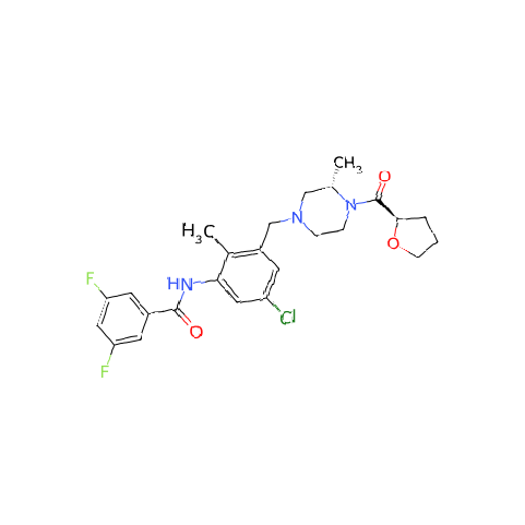 Cc1c(CN2CCN(C(=O)[C@H]3CCCO3)[C@@H](C)C2)cc(Cl)cc1NC(=O)c1cc(F)cc(F)c1